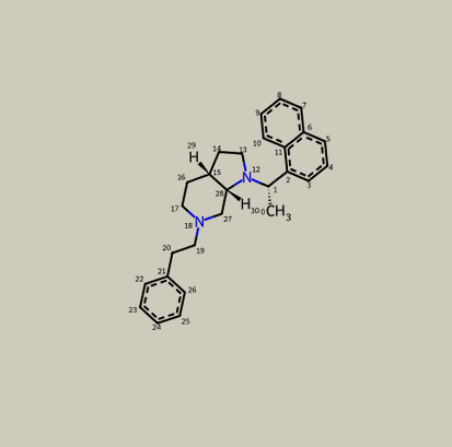 C[C@@H](c1cccc2ccccc12)N1CC[C@H]2CCN(CCc3ccccc3)C[C@H]21